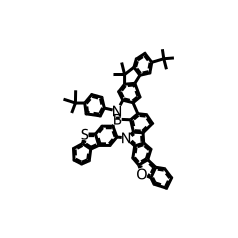 CC(C)(C)c1ccc(N2B3c4cc5sc6ccccc6c5cc4-n4c5cc6oc7ccccc7c6cc5c5ccc(c3c54)-c3cc4c(cc32)C(C)(C)c2ccc(C(C)(C)C)cc2-4)cc1